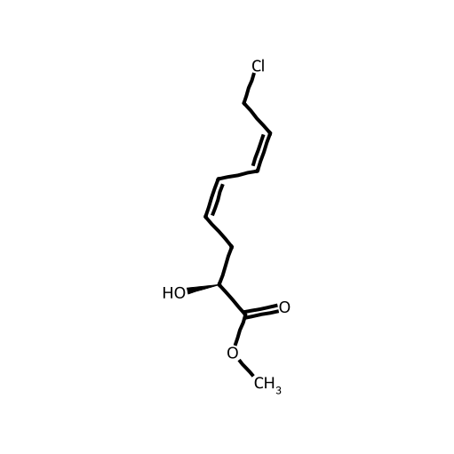 COC(=O)[C@@H](O)C/C=C\C=C/CCl